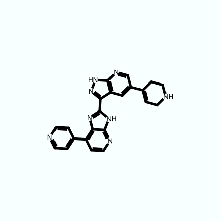 C1=C(c2cnc3[nH]nc(-c4nc5c(-c6ccncc6)ccnc5[nH]4)c3c2)CCNC1